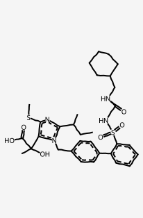 CCC(C)c1nc(SC)c(C(C)(O)C(=O)O)n1Cc1ccc(-c2ccccc2S(=O)(=O)NC(=O)NCC2CCCCC2)cc1